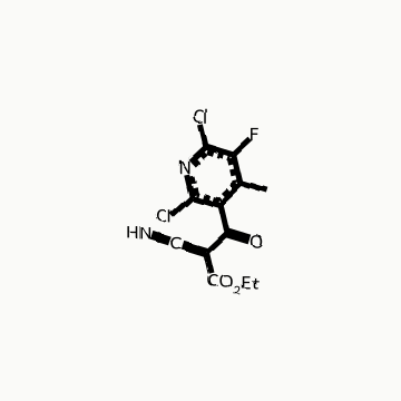 CCOC(=O)C(=C=N)C(=O)c1c(Cl)nc(Cl)c(F)c1C